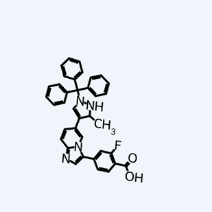 CC1NN(C(c2ccccc2)(c2ccccc2)c2ccccc2)C=C1c1ccc2ncc(-c3ccc(C(=O)O)c(F)c3)n2c1